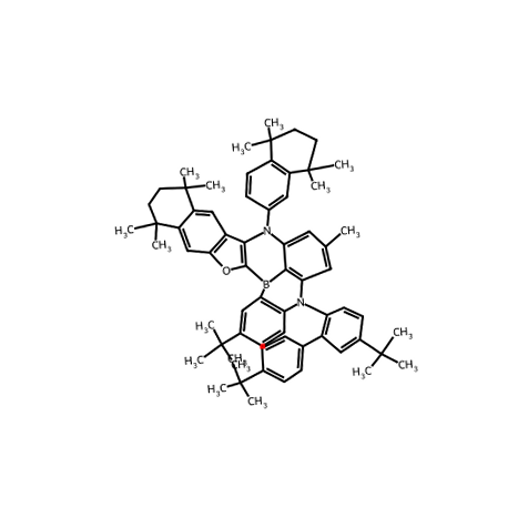 Cc1cc2c3c(c1)N(c1ccc4c(c1)C(C)(C)CCC4(C)C)c1c(oc4cc5c(cc14)C(C)(C)CCC5(C)C)B3c1cc(C(C)(C)C)ccc1N2c1ccc(C(C)(C)C)cc1-c1ccc(C(C)(C)C)cc1